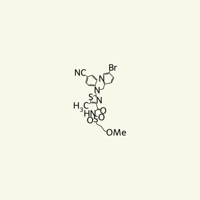 COCCCS(=O)(=O)NC(=O)c1nc(N(Cc2ccc(Br)cn2)c2ccc(C#N)cc2)sc1C